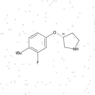 CC(C)(C)c1ccc(O[C@@H]2CCNC2)cc1F